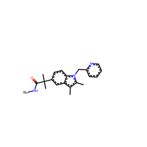 Cc1c(C)n(Cc2ccccn2)c2ccc(C(C)(C)C(=O)NC(C)(C)C)cc12